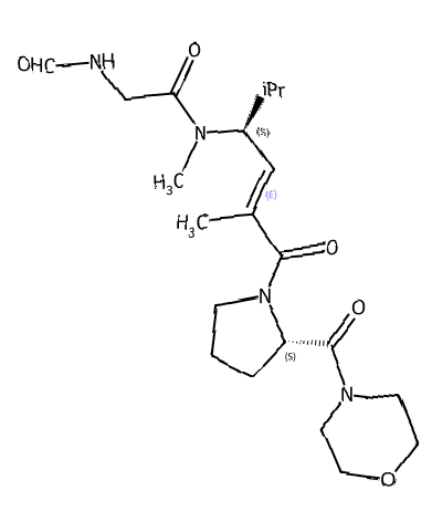 C/C(=C\[C@H](C(C)C)N(C)C(=O)CNC=O)C(=O)N1CCC[C@H]1C(=O)N1CCOCC1